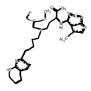 CO[C@H](CF)CN(CCCCc1ccc2c(n1)NCCC2)CCC(Nc1ncnc2scc(C)c12)C(=O)O